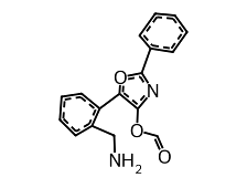 NCc1ccccc1-c1oc(-c2ccccc2)nc1OC=O